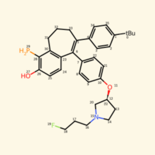 CC(C)(C)c1ccc(C2=C(c3ccc(O[C@H]4CCN(CCCF)C4)cc3)c3ccc(O)c(P)c3CCC2)cc1